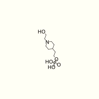 O=P(O)(O)OCCC1CCN(CCO)CC1